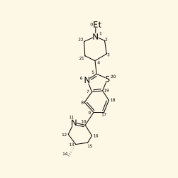 CCN1CCC(c2nc3cc(C4=NC[C@@H](C)CC4)ccc3s2)CC1